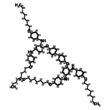 CCCCCCCCOc1ccc(Nc2ccc(Oc3ccc(-c4ccc(Oc5ccc(Nc6ccc(OCCCCCCCC)cc6)cc5Nc5ccc(OCCCCCCCC)cc5)cc4)cc3)c(Nc3ccc(OCCCCCCCC)cc3)c2)cc1